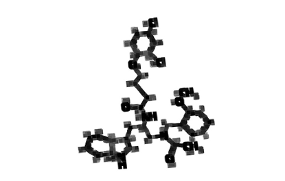 COc1ccccc1CN(CC(Cc1c[nH]c2ccccc12)NC(=O)CCCOc1ccc(Cl)cc1Cl)C(C)=O